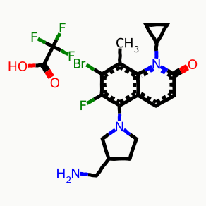 Cc1c(Br)c(F)c(N2CCC(CN)C2)c2ccc(=O)n(C3CC3)c12.O=C(O)C(F)(F)F